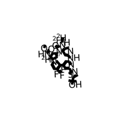 [2H]C([2H])([2H])n1c(=O)n([C@@H]2CC[C@]([2H])(NC(=O)OC)C2)c2cc(Nc3cc(-c4cnccc4C(F)(F)F)cc(-c4ncc(C(C)(C)O)s4)n3)ncc21